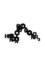 NC(=O)c1ccc(OCC2CCCN(S(=O)(=O)CC3CCC(c4ccnc5cnc6[nH]ccc6c45)CC3)C2)cc1